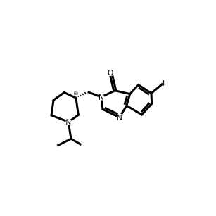 CC(C)N1CCC[C@H](Cn2cnc3ccc(I)cc3c2=O)C1